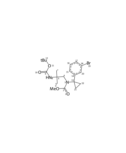 COC(=O)N(CC(C)(C)NC(=O)OC(C)(C)C)C1(c2cccc(Br)c2)CC1